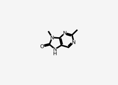 Cc1ncc2[nH]c(=O)n(C)c2n1